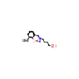 CC(C)(C)c1cccc(CNCCCCO)c1O